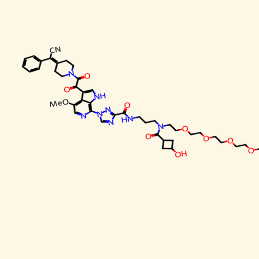 C#CCOCCOCCOCCOCCN(CCCNC(=O)c1ncn(-c2ncc(OC)c3c(C(=O)C(=O)N4CCC(=C(C#N)c5ccccc5)CC4)c[nH]c23)n1)C(=O)C1CC(O)C1